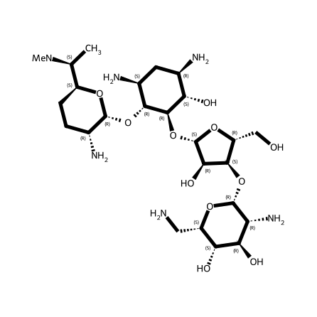 CN[C@@H](C)[C@@H]1CC[C@@H](N)[C@@H](O[C@H]2[C@H](O[C@@H]3O[C@H](CO)[C@@H](O[C@H]4O[C@@H](CN)[C@@H](O)[C@H](O)[C@H]4N)[C@H]3O)[C@@H](O)[C@H](N)C[C@@H]2N)O1